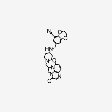 N#Cc1cc(CNC2CCN(CC3Cn4c(=O)cnc5ccc(=O)n3c54)CC2)cc2c1OCCO2